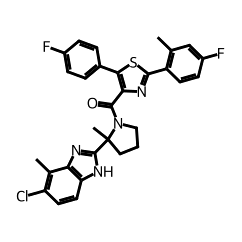 Cc1cc(F)ccc1-c1nc(C(=O)N2CCCC2(C)c2nc3c(C)c(Cl)ccc3[nH]2)c(-c2ccc(F)cc2)s1